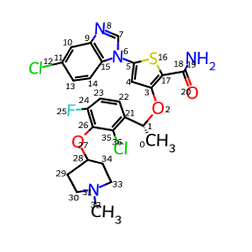 C[C@@H](Oc1cc(-n2cnc3cc(Cl)ccc32)sc1C(N)=O)c1ccc(F)c(OC2CCN(C)CC2)c1Cl